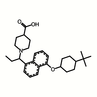 CCC(c1cccc2c(OC3CCC(C(C)(C)C)CC3)cccc12)N1CCC(C(=O)O)CC1